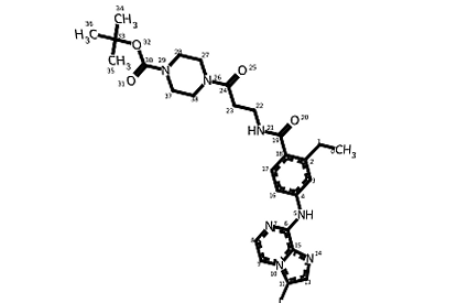 CCc1cc(Nc2nccn3c(I)cnc23)ccc1C(=O)NCCC(=O)N1CCN(C(=O)OC(C)(C)C)CC1